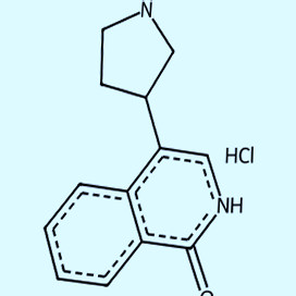 Cl.O=c1[nH]cc(C2CCNC2)c2ccccc12